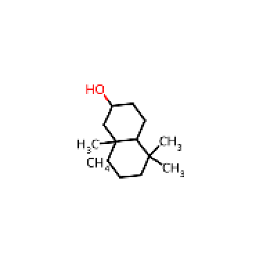 C.CC1(C)CCCC2(C)CC(O)CCC12